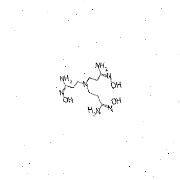 N/C(CCN(CC/C(N)=N\O)CC/C(N)=N\O)=N/O